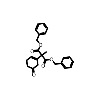 CC(C(=O)OCc1ccccc1)(C(=O)OCc1ccccc1)C1=CCCC(=O)C1